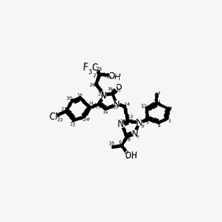 Cc1cccc(-n2nc(C(C)O)nc2Cn2cc(-c3ccc(Cl)cc3)n(CC(O)C(F)(F)F)c2=O)c1